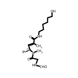 C/C(=C\[C@H](C(C)C)N(C)C(=O)CNC=O)C(=O)NCCCCCCO